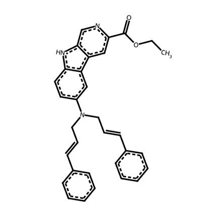 CCOC(=O)c1cc2c(cn1)[nH]c1ccc(N(CC=Cc3ccccc3)CC=Cc3ccccc3)cc12